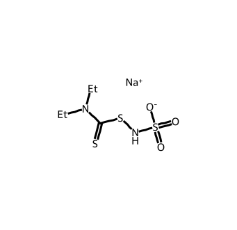 CCN(CC)C(=S)SNS(=O)(=O)[O-].[Na+]